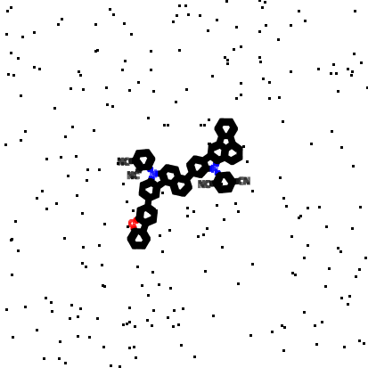 N#Cc1ccc(C#N)c(-n2c3cc(-c4cccc5c4ccc4c5c5cc(-c6ccc7c(c6)oc6ccccc67)ccc5n4-c4cccc(C#N)c4C#N)ccc3c3cc4c5c(cccc5c32)-c2ccccc2-4)c1